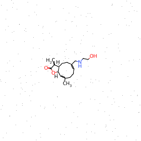 C=C1C(=O)O[C@@H]2C=C(C)CCC=C(CNCCO)CC[C@H]12